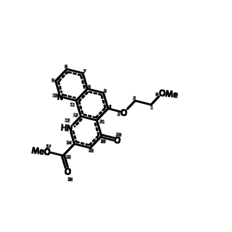 COCCOc1cc2cccnc2c2[nH]c(C(=O)OC)cc(=O)c12